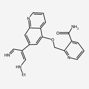 CCN/C=C(\C=N)c1cc(OCc2ncccc2C(N)=O)c2cccnc2c1